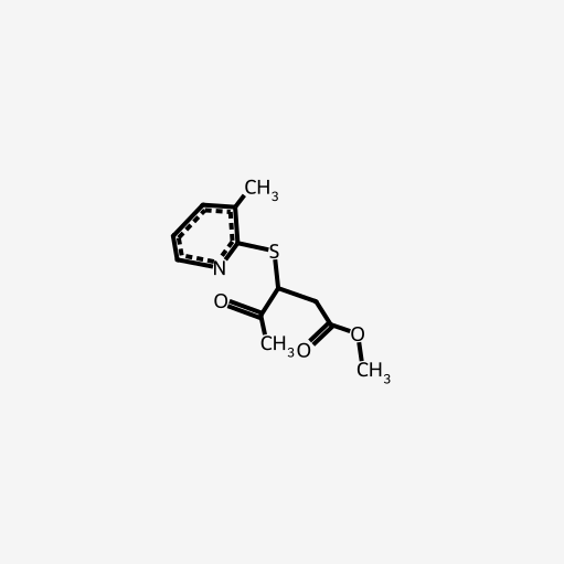 COC(=O)CC(Sc1ncccc1C)C(C)=O